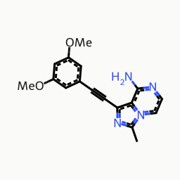 COc1cc(C#Cc2nc(C)n3ccnc(N)c23)cc(OC)c1